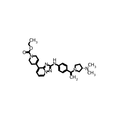 C=C(c1ccc(Nc2nc3c(C4=CCN(C(=O)OCC)CC4)cccn3n2)cc1)N1CC[C@H](N(C)C)C1